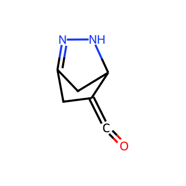 O=C=C1CC2=NNC1C2